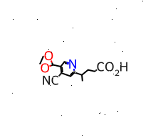 CC(CCC(=O)O)c1cc(C#N)c(C2OCCO2)cn1